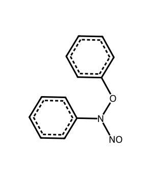 O=NN(Oc1ccccc1)c1ccccc1